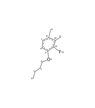 CCCCOc1ccc(C)c(C)c1F